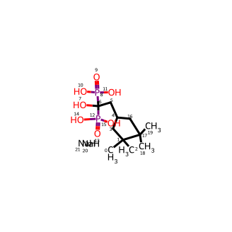 CC1(C)CC(CC(O)(P(=O)(O)O)P(=O)(O)O)CC1(C)C.[NaH].[NaH]